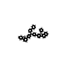 c1ccc(-c2cccc(N(c3ccc(-c4ccc5c6ccc7ccccc7c6n(-c6ccccc6)c5c4)cc3)c3ccc(-c4cccc5c4sc4ccccc45)cc3)c2)cc1